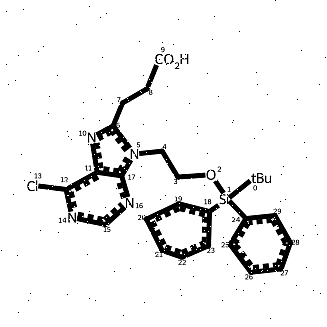 CC(C)(C)[Si](OCCn1c(CCC(=O)O)nc2c(Cl)ncnc21)(c1ccccc1)c1ccccc1